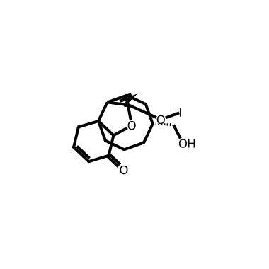 O=C1C=CCC23CCC[C@@H](CO)Cc4ccc(OI)c(c42)OC13